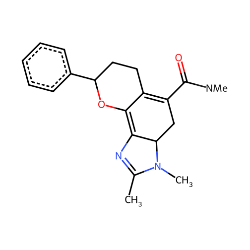 CNC(=O)C1=C2CCC(c3ccccc3)OC2=C2N=C(C)N(C)C2C1